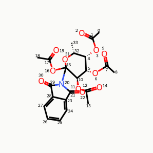 CC(=O)O[C@@H]1[C@H](OC(C)=O)[C@@H](OC(C)=O)C(OC(C)=O)(N2C(=O)c3ccccc3C2=O)O[C@@H]1C